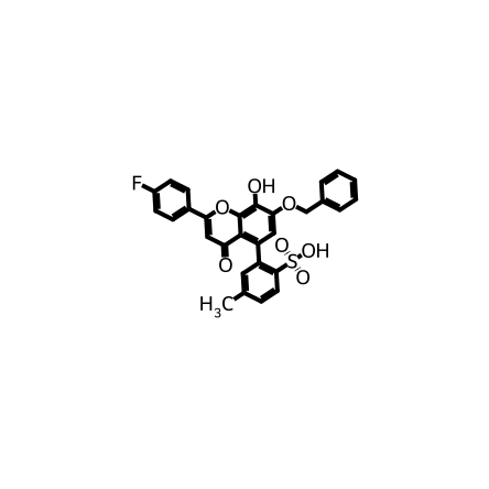 Cc1ccc(S(=O)(=O)O)c(-c2cc(OCc3ccccc3)c(O)c3oc(-c4ccc(F)cc4)cc(=O)c23)c1